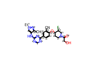 CCn1cc(Nc2ncnc(-c3ccc(OC4CCN(C(=O)CO)CC4F)c(C#N)c3)n2)c(C)n1